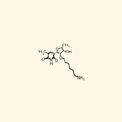 Cc1cn([C@@H]2O[C@H](C)[C@@H](O)[C@H]2OCCCCCCN)c(=O)[nH]c1=O